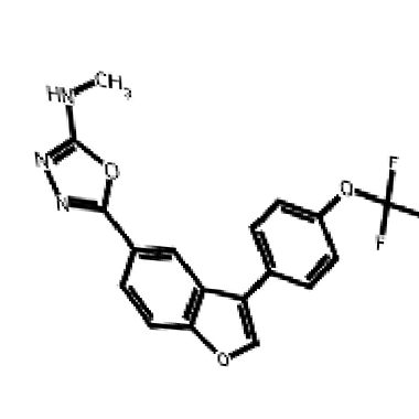 CNc1nnc(-c2ccc3occ(-c4ccc(OC(F)(F)F)cc4)c3c2)o1